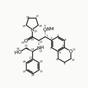 CO[C@H](c1ccc2c(c1)CCCO2)[C@H](N[C@H](CO)c1ccccc1)C(=O)N1CCCC1